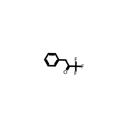 O=C([CH]c1ccccc1)C(F)(F)F